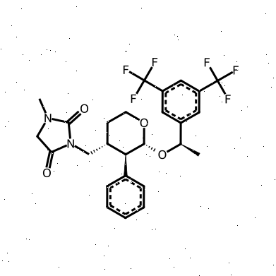 C[C@@H](O[C@H]1OCC[C@@H](CN2C(=O)CN(C)C2=O)[C@@H]1c1ccccc1)c1cc(C(F)(F)F)cc(C(F)(F)F)c1